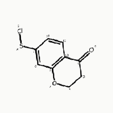 O=C1CCOc2cc(SCl)ccc21